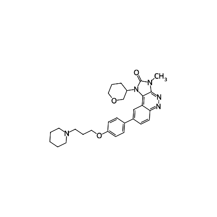 Cn1c(=O)n(C2CCCOC2)c2c3cc(-c4ccc(OCCCN5CCCCC5)cc4)ccc3nnc21